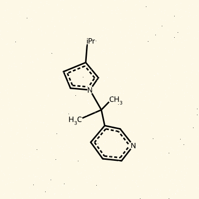 CC(C)c1ccn(C(C)(C)c2cccnc2)c1